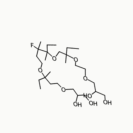 CCC(C)(CCOCC(O)CO)OCCC(C)(F)C(C)(CC)OCC(C)(CC)OCCOCC(O)CO